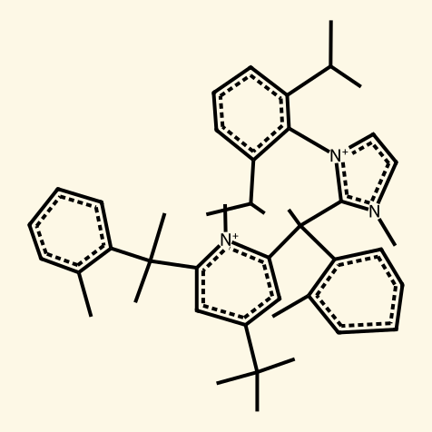 Cc1ccccc1C(C)(C)c1cc(C(C)(C)C)cc(C(C)(c2ccccc2C)c2n(C)cc[n+]2-c2c(C(C)C)cccc2C(C)C)[n+]1C